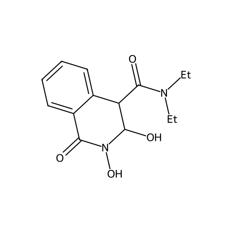 CCN(CC)C(=O)C1c2ccccc2C(=O)N(O)C1O